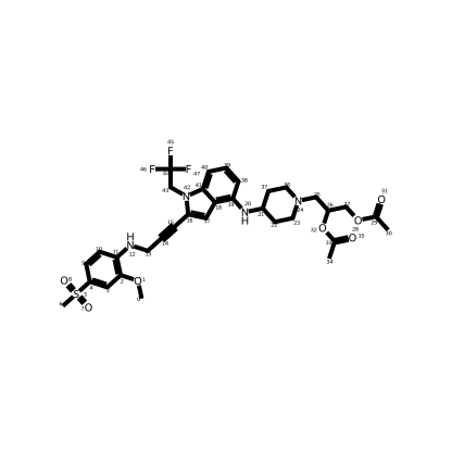 COc1cc(S(C)(=O)=O)ccc1NCC#Cc1cc2c(NC3CCN(CC(COC(C)=O)OC(C)=O)CC3)cccc2n1CC(F)(F)F